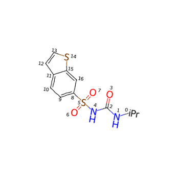 CC(C)NC(=O)NS(=O)(=O)c1ccc2ccsc2c1